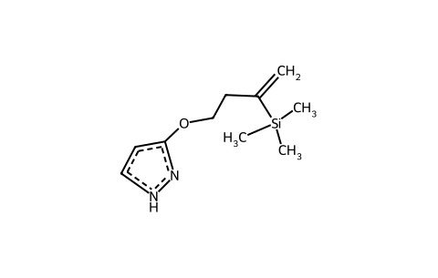 C=C(CCOc1cc[nH]n1)[Si](C)(C)C